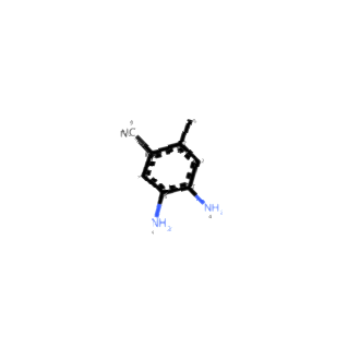 Cc1cc(N)c(N)cc1C#N